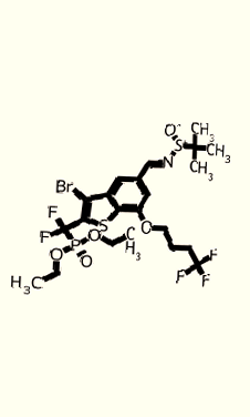 CCOP(=O)(OCC)C(F)(F)c1sc2c(OCCCC(F)(F)F)cc(C=N[S+]([O-])C(C)(C)C)cc2c1Br